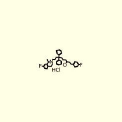 CC1c2cc(F)ccc2CCN1CCCC(CCCC(=O)CCc1ccc(F)cc1)(c1ccccc1)c1ccccc1.Cl